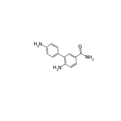 NC(=O)c1ccc(N)c(-c2ccc(N)cc2)c1